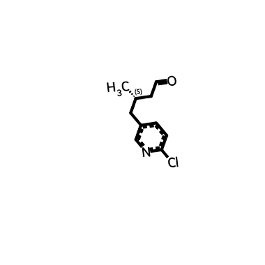 C[C@H](CC=O)Cc1ccc(Cl)nc1